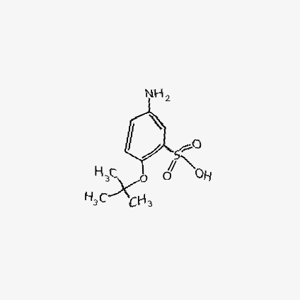 CC(C)(C)Oc1ccc(N)cc1S(=O)(=O)O